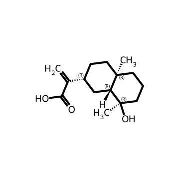 C=C(C(=O)O)[C@@H]1CC[C@@]2(C)CCC[C@@](C)(O)[C@@H]2C1